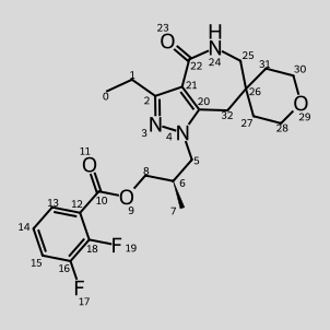 CCc1nn(C[C@@H](C)COC(=O)c2cccc(F)c2F)c2c1C(=O)NCC1(CCOCC1)C2